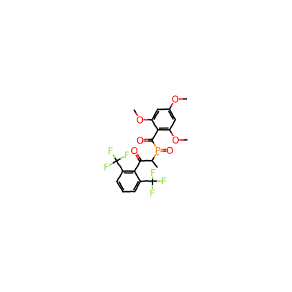 COc1cc(OC)c(C(=O)[P](=O)C(C)C(=O)c2c(C(F)(F)F)cccc2C(F)(F)F)c(OC)c1